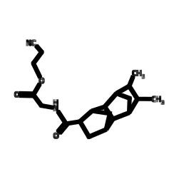 CC1C(C)C2CC1C1C3CC(C(=O)NCC(=O)OCCC#N)C(C3)C21